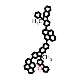 CC1(c2ccccc2)c2cc(-c3ccc4cc(-c5ccc6cc7c(cc6c5)-c5ccc(-c6ccc8ccc9cccc%10ccc6c8c9%10)cc5C7(C)c5ccc6oc7ccccc7c6c5)c5cccc6ccc3c4c65)ccc2-c2cc3ccccc3cc21